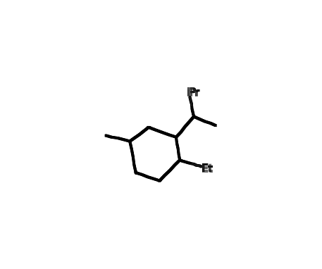 CCC1CCC(C)CC1C(C)C(C)C